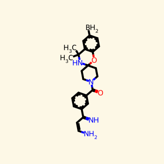 Bc1ccc2c(c1)C(C)(C)NC1(CCN(C(=O)c3cccc(C(=N)/C=C\N)c3)CC1)O2